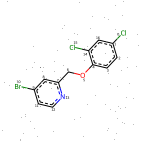 Clc1ccc(OCc2cc(Br)ccn2)c(Cl)c1